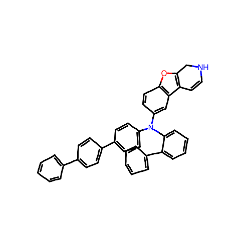 C1=Cc2c(oc3ccc(N(c4ccc(-c5ccc(-c6ccccc6)cc5)cc4)c4ccccc4-c4ccccc4)cc23)CN1